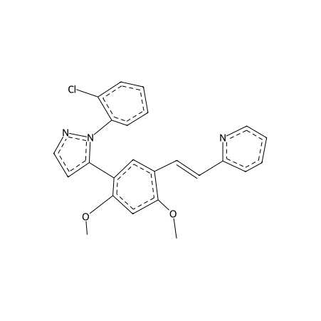 COc1cc(OC)c(-c2ccnn2-c2ccccc2Cl)cc1C=Cc1ccccn1